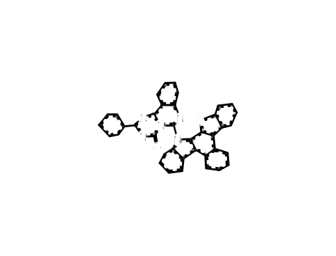 O=c1nc(-c2ccccc2)nc2c3ccccc3nc(-n3c4ccccc4c4c5ccccc5c5c6ccccc6sc5c43)n12